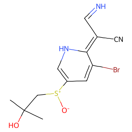 CC(C)(O)C[S+]([O-])C1=CN/C(=C(/C#N)C=N)C(Br)=C1